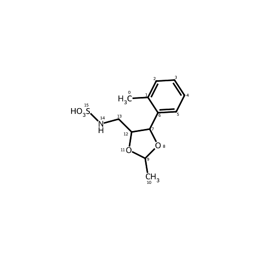 Cc1ccccc1C1OC(C)OC1CNS(=O)(=O)O